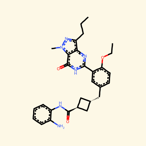 CCCc1nn(C)c2c(=O)[nH]c(-c3cc(C[C@H]4C[C@H](C(=O)Nc5ccccc5N)C4)ccc3OCC)nc12